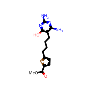 COC(=O)c1ccc(CCCCc2c(N)nc(N)nc2O)s1